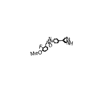 COc1cccc(Cn2cnn(-c3ccc(-c4cn[nH]c4)cc3)c2=O)c1F